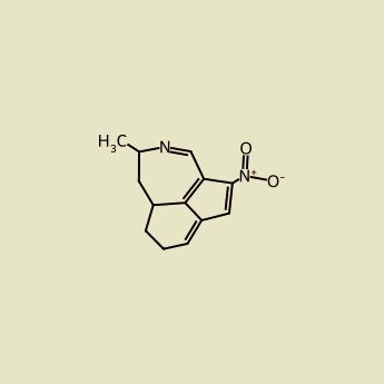 CC1CC2CCC=C3C=C([N+](=O)[O-])C(=C32)C=N1